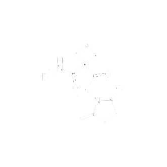 C=C1CCC(=O)N1OC(=O)C1(C(=O)NCC)CCC1